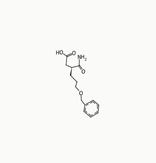 NC(=O)[C@@H](CCCOCc1ccccc1)CC(=O)O